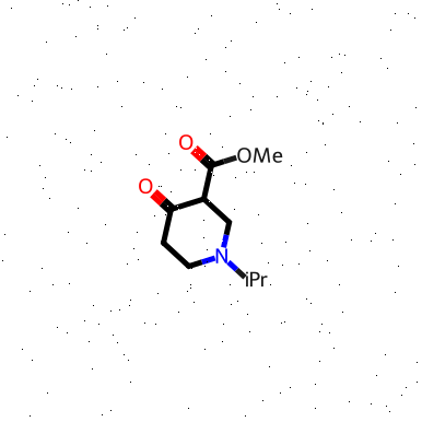 COC(=O)C1CN(C(C)C)CCC1=O